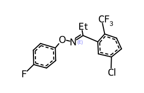 CC/C(=N\Oc1ccc(F)cc1)c1cc(Cl)ccc1C(F)(F)F